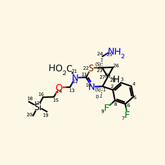 C[C@]1(c2cccc(F)c2F)N=C(N(COCC[Si](C)(C)C)C(=O)O)S[C@@]2(CN)C[C@H]21